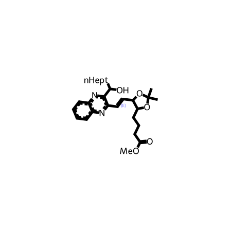 CCCCCCCC(O)c1nc2ccccc2nc1/C=C/C1OC(C)(C)OC1CCCC(=O)OC